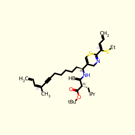 B=C(N[C@@H](CCCCCC#C/C(C)=C\C=C)C1=CSC(/C(=C/C=C)SCC)=NC1)[C@H](CC(C)C)C(=O)OC(C)(C)C